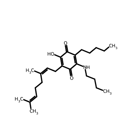 CCCCCC1=C(NCCCC)C(=O)C(CC=C(C)CCC=C(C)C)=C(O)C1=O